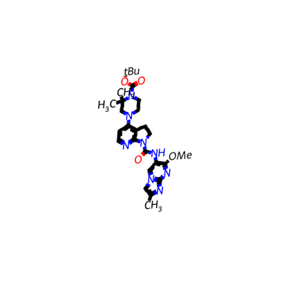 COc1nc2nc(C)cn2cc1NC(=O)N1CCc2c(N3CCN(C(=O)OC(C)(C)C)C(C)(C)C3)ccnc21